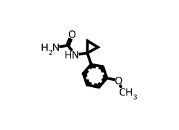 COc1cccc(C2(NC(N)=O)CC2)c1